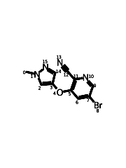 Cn1cc(Oc2cc(Br)cnc2C#N)cn1